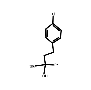 CC(C)C(O)(CCc1ccc(Cl)cc1)C(C)(C)C